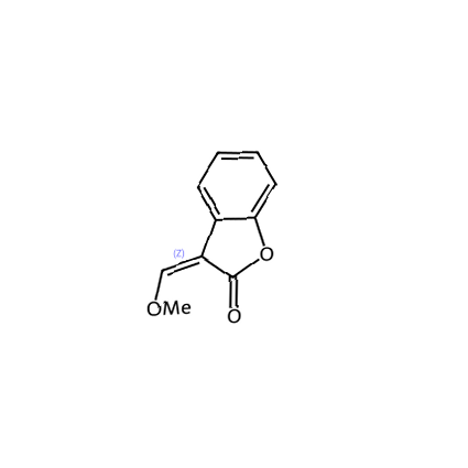 CO/C=C1\C(=O)Oc2ccccc21